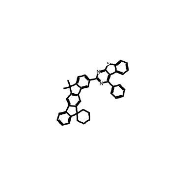 CC1(C)c2ccc(-c3nc(-c4ccccc4)c4c(n3)sc3ccccc34)cc2-c2cc3c(cc21)-c1ccccc1C31CCCCC1